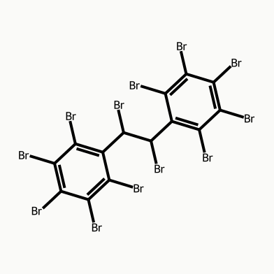 Brc1c(Br)c(Br)c(C(Br)C(Br)c2c(Br)c(Br)c(Br)c(Br)c2Br)c(Br)c1Br